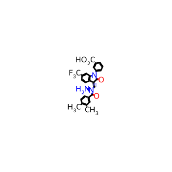 Cc1ccc(C(=O)N(N)/C=C2/C(=O)N(c3cccc(C(=O)O)c3)c3cc(C(F)(F)F)ccc32)cc1C